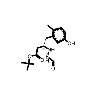 Cc1ccc(O)cc1C[C@@H](CC(=O)OC(C)(C)C)NBC=O